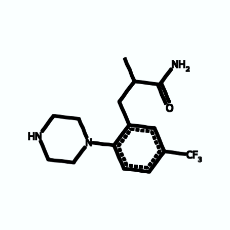 CC(Cc1cc(C(F)(F)F)ccc1N1CCNCC1)C(N)=O